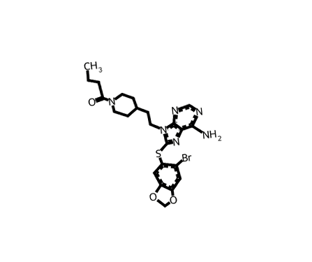 CCCC(=O)N1CCC(CCn2c(Sc3cc4c(cc3Br)OCO4)nc3c(N)ncnc32)CC1